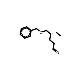 CC[C@H](CCC=O)COCc1ccccc1